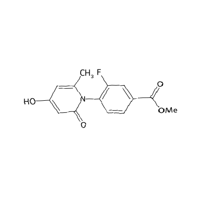 COC(=O)c1ccc(-n2c(C)cc(O)cc2=O)c(F)c1